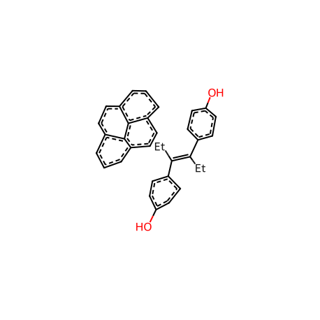 CC/C(=C(/CC)c1ccc(O)cc1)c1ccc(O)cc1.c1cc2ccc3cccc4ccc(c1)c2c34